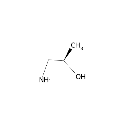 C[C@@H](O)C[NH]